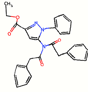 CCOC(=O)c1cc(N(C(=O)Cc2ccccc2)C(=O)Cc2ccccc2)n(-c2ccccc2)n1